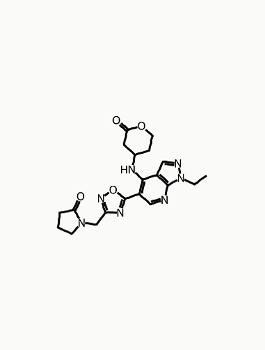 CCn1ncc2c(NC3CCOC(=O)C3)c(-c3nc(CN4CCCC4=O)no3)cnc21